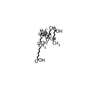 CC(=O)O.CCC(=O)O.CCCC(=O)O.CCCCCC(=O)O.CCCCCCC(=O)O.CCCCCCCC(=O)O